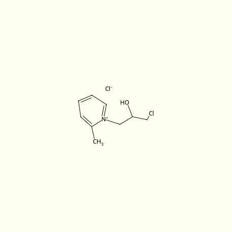 Cc1cccc[n+]1CC(O)CCl.[Cl-]